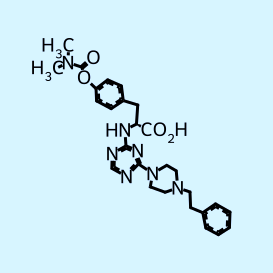 CN(C)C(=O)Oc1ccc(C[C@H](Nc2ncnc(N3CCN(CCc4ccccc4)CC3)n2)C(=O)O)cc1